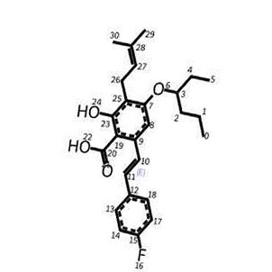 CCCC(CC)Oc1cc(/C=C/c2ccc(F)cc2)c(C(=O)O)c(O)c1CC=C(C)C